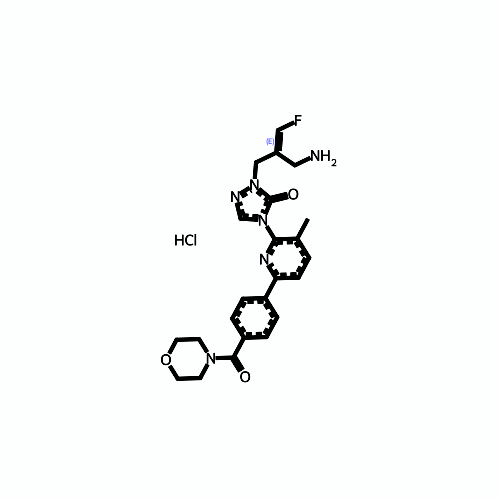 Cc1ccc(-c2ccc(C(=O)N3CCOCC3)cc2)nc1-n1cnn(C/C(=C/F)CN)c1=O.Cl